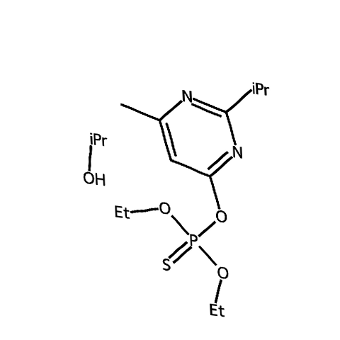 CC(C)O.CCOP(=S)(OCC)Oc1cc(C)nc(C(C)C)n1